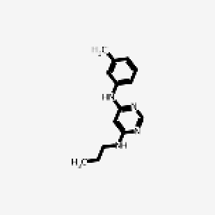 CCCNc1cc(Nc2cccc(C)c2)ncn1